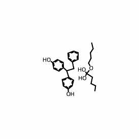 CCCCCOC(O)(O)CCCC.Oc1ccc(C(Cc2ccccc2)c2ccc(O)cc2)cc1